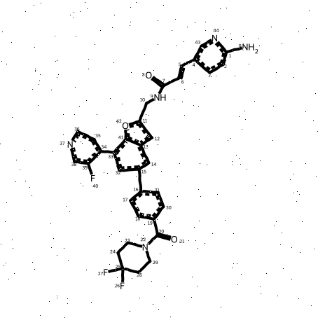 Nc1ccc(C=CC(=O)NCc2cc3cc(-c4ccc(C(=O)N5CCC(F)(F)CC5)cc4)cc(-c4ccncc4F)c3o2)cn1